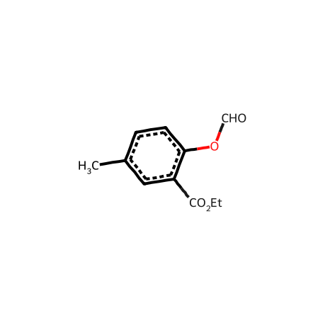 CCOC(=O)c1cc(C)ccc1OC=O